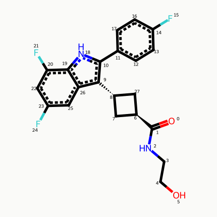 O=C(NCCO)[C@H]1C[C@H](c2c(-c3ccc(F)cc3)[nH]c3c(F)cc(F)cc32)C1